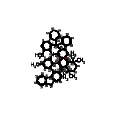 Bc1cccc2c1N(c1cc(C)cc(-c3c(N)ccc4c3-c3ccccc3C4)c1-c1ccc3c(c1)C(C)(C)CCC3(C)C)c1ccccc1C2(C1=CCCC=C1)c1ccccc1